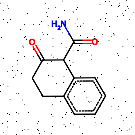 NC(=O)C1C(=O)CCc2ccc[c]c21